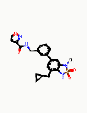 CN1c2cc(-c3cccc(CNC(=O)c4ccon4)c3)cc(CC3CC3)c2NS1(=O)=O